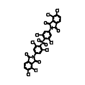 O=C1c2ccc(Cl)c(Cl)c2C(=O)N1c1cc(Cl)c(S(=O)(=O)c2c(Cl)cc(N3C(=O)c4ccc(Cl)c(Cl)c4C3=O)cc2Cl)c(Cl)c1